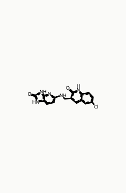 O=c1[nH]c2ccc(NCc3cc4cc(Cl)ccc4[nH]c3=O)nc2[nH]1